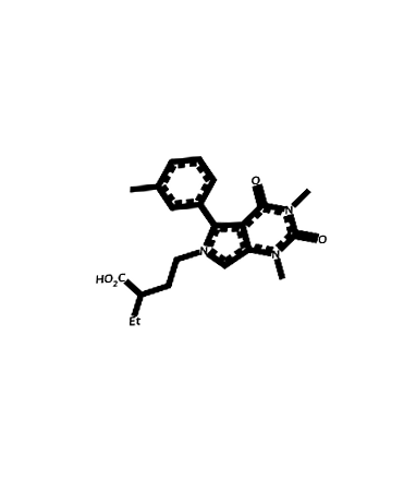 CCC(CCn1cc2c(c1-c1cccc(C)c1)c(=O)n(C)c(=O)n2C)C(=O)O